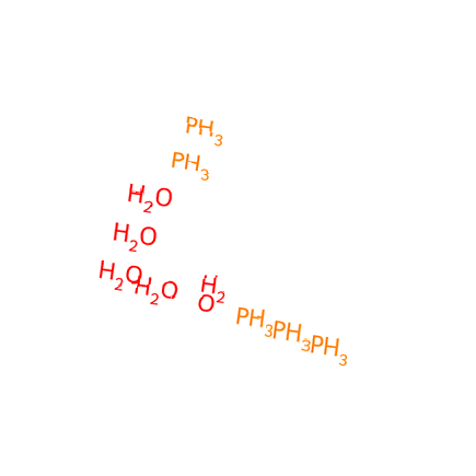 O.O.O.O.O.P.P.P.P.P